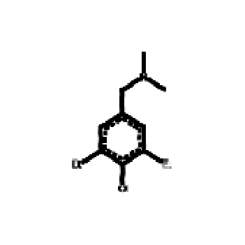 CCc1cc(CN(C)C)cc(CC)c1O